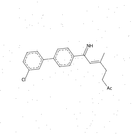 CC(=O)CC/C(C)=C/C(=N)c1ccc(-c2cccc(Cl)c2)cc1